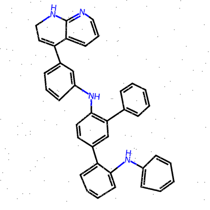 C1=C(c2cccc(Nc3ccc(-c4ccccc4Nc4ccccc4)cc3-c3ccccc3)c2)c2cccnc2NC1